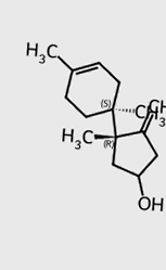 C=C1CC(O)C[C@]1(C)[C@]1(C)CC=C(C)CC1